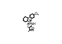 COc1ccc(-c2ccccc2S(=O)(=O)Nc2onc(C)c2C)cc1